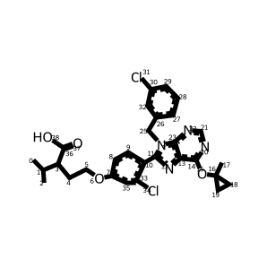 CC(C)C(CCOc1ccc(-c2nc3c(OC4(C)CC4)ncnc3n2Cc2cccc(Cl)c2)c(Cl)c1)C(=O)O